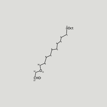 CCCCCCCCCCCCCCCCCCOC[C]=O